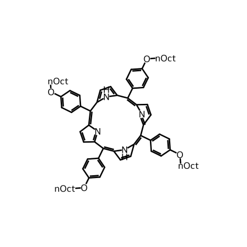 CCCCCCCCOc1ccc(-c2c3nc(c(-c4ccc(OCCCCCCCC)cc4)c4ccc([nH]4)c(-c4ccc(OCCCCCCCC)cc4)c4nc(c(-c5ccc(OCCCCCCCC)cc5)c5ccc2[nH]5)C=C4)C=C3)cc1